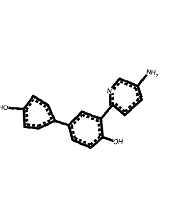 Nc1ccc(-c2cc(-c3ccc(O)cc3)ccc2O)nc1